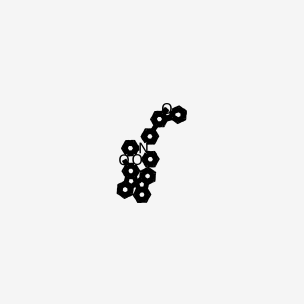 c1ccc(N(c2ccc(-c3ccc4oc5ccccc5c4c3)cc2)c2cccc3c2Oc2cc4c(cc2O3)-c2ccccc2C42c3ccccc3-c3ccccc32)cc1